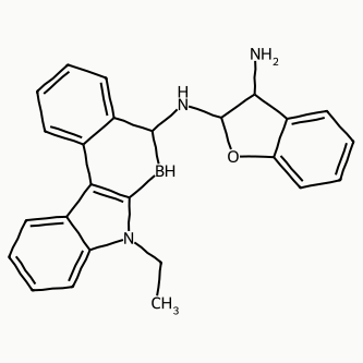 CCn1c2c(c3ccccc31)-c1ccccc1C(NC1Oc3ccccc3C1N)B2